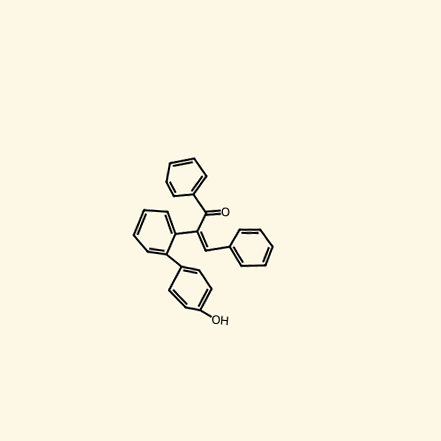 O=C(C(=Cc1ccccc1)c1ccccc1-c1ccc(O)cc1)c1ccccc1